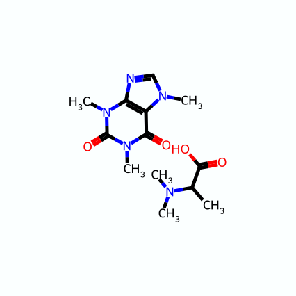 CC(C(=O)O)N(C)C.Cn1c(=O)c2c(ncn2C)n(C)c1=O